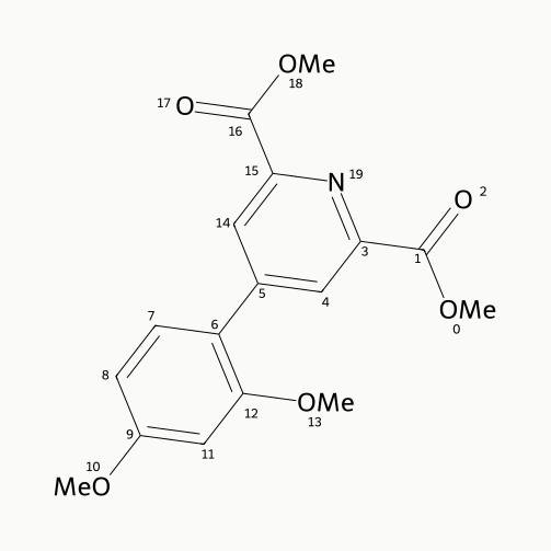 COC(=O)c1cc(-c2ccc(OC)cc2OC)cc(C(=O)OC)n1